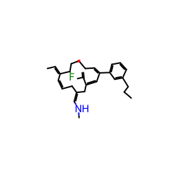 C=C(C)/C(=C\C(=C/CCC)c1cccc(CCC)c1)C/C(=C\NC)C/C=C\C(=C/C)C(F)CC